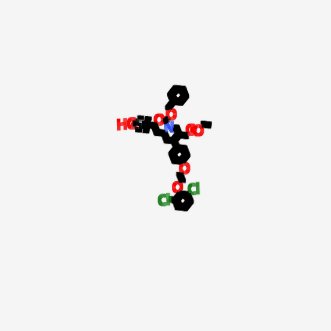 CCOOCC1=C(c2ccc(OCCOc3c(Cl)cccc3Cl)cc2)CC(CCC(C)(C)[Si](C)(C)O)N(C(=O)OCc2ccccc2)C1